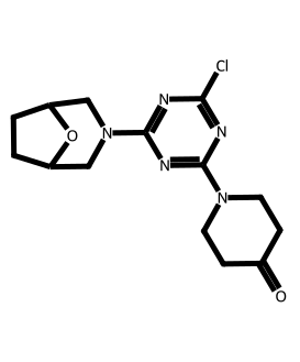 O=C1CCN(c2nc(Cl)nc(N3CC4CCC(C3)O4)n2)CC1